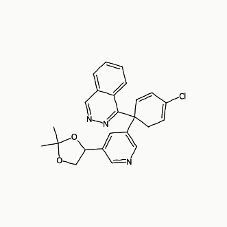 CC1(C)OCC(c2cncc(C3(c4nncc5ccccc45)C=CC(Cl)=CC3)c2)O1